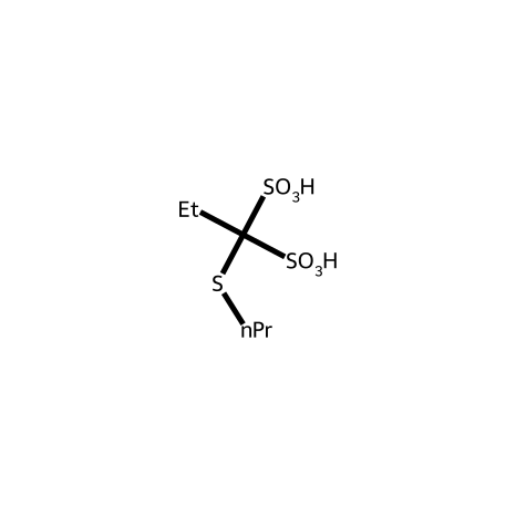 CCCSC(CC)(S(=O)(=O)O)S(=O)(=O)O